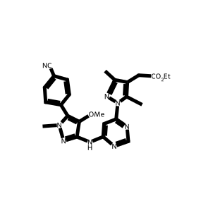 CCOC(=O)Cc1c(C)nn(-c2cc(Nc3nn(C)c(-c4ccc(C#N)cc4)c3OC)ncn2)c1C